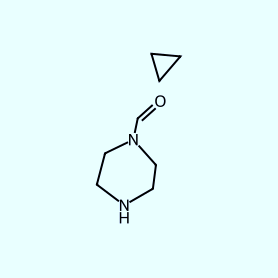 C1CC1.O=CN1CCNCC1